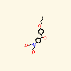 CCCCOc1ccc(C(=O)c2ccc(N(CCOC)CCOC)cc2)cc1